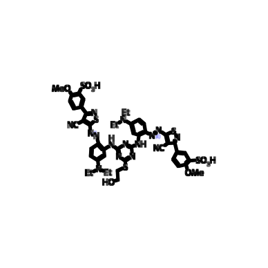 CCN(CC)c1ccc(/N=N/c2snc(-c3ccc(OC)c(S(=O)(=O)O)c3)c2C#N)c(Nc2nc(Nc3cc(N(CC)CC)ccc3/N=N/c3snc(-c4ccc(OC)c(S(=O)(=O)O)c4)c3C#N)nc(SCCO)n2)c1